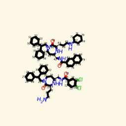 NCCC[C@@H]1N[C@H](CNC(=O)c2ccc(Cl)c(Cl)c2)CCN(CC(c2ccccc2)c2ccccc2)C1=O.O=C(NC[C@@H]1CCN(CC(c2ccccc2)c2ccccc2)C(=O)[C@H](CCCNC2CCCCC2)N1)c1ccc2ccccc2c1